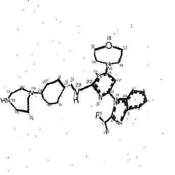 FC(F)c1nc2ccccc2n1-c1cc(N2CCOCC2)nc(NC[C@H]2CC[C@H](N3CCNCC3)CC2)n1